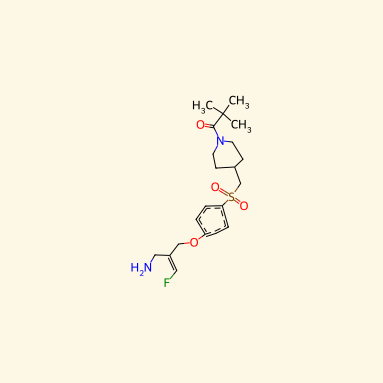 CC(C)(C)C(=O)N1CCC(CS(=O)(=O)c2ccc(OCC(=CF)CN)cc2)CC1